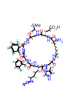 CSCC[C@@H]1NC(=O)[C@H](CCC(=O)O)NC(=O)[C@@H](N)CCCCNC(=O)[C@H](Cc2c[nH]cn2)N(C)C(=O)[C@H](CCCCN=[N+]=[N-])NC(=O)[C@H](Cc2ccccc2F)NC(=O)[C@H](Cc2c(F)c(F)c(F)c(F)c2F)NC(=O)CNC1=O